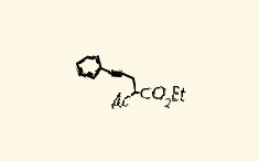 CCOC(=O)C(CC#Cc1ccccc1)C(C)=O